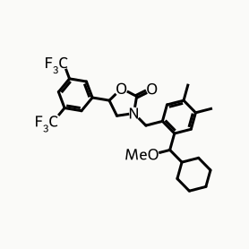 COC(c1cc(C)c(C)cc1CN1CC(c2cc(C(F)(F)F)cc(C(F)(F)F)c2)OC1=O)C1CCCCC1